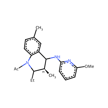 CCC1[C@H](C)C(Nc2cccc(OC)n2)c2cc(C)ccc2N1C(C)=O